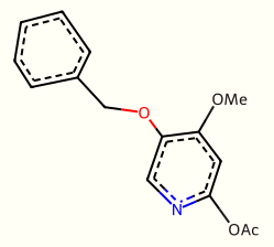 COc1cc(OC(C)=O)ncc1OCc1ccccc1